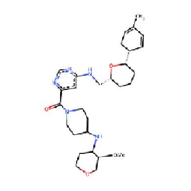 CO[C@H]1COCC[C@H]1NC1CCN(C(=O)c2cc(NC[C@H]3CCC[C@@H](C4C=CC(C)=CC4)O3)ncn2)CC1